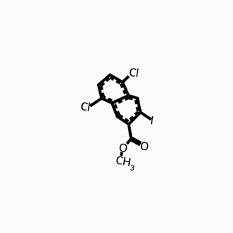 COC(=O)c1cc2c(Cl)ccc(Cl)c2cc1I